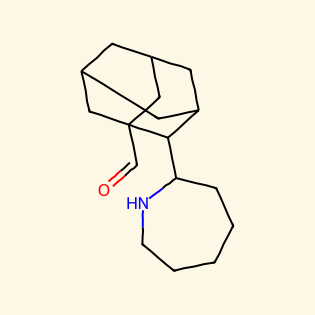 O=CC12CC3CC(CC(C3)C1C1CCCCCN1)C2